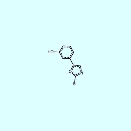 Oc1cccc(-c2cnc(Br)o2)c1